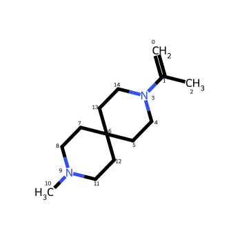 C=C(C)N1CCC2(CCN(C)CC2)CC1